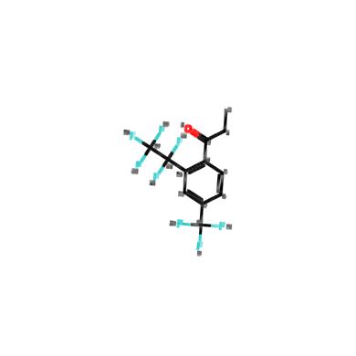 CCC(=O)c1ccc(C(F)(F)F)cc1C(F)(F)C(F)(F)F